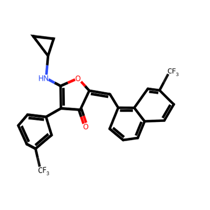 O=C1C(c2cccc(C(F)(F)F)c2)=C(NC2CC2)O/C1=C/c1cccc2ccc(C(F)(F)F)cc12